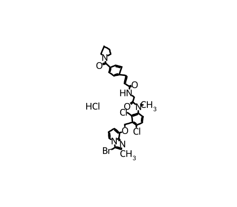 Cc1nc2c(OCc3c(Cl)ccc(N(C)C(=O)CNC(=O)/C=C/c4ccc(C(=O)N5CCCC5)cc4)c3Cl)cccn2c1Br.Cl